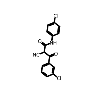 N#CC(C(=O)Nc1ccc(Cl)cc1)C(=O)c1cccc(Cl)c1